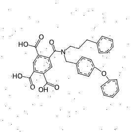 O=C(O)c1cc(C(=O)O)c(C(=O)N(CCCc2ccccc2)Cc2ccc(Oc3ccccc3)cc2)cc1C(=O)O